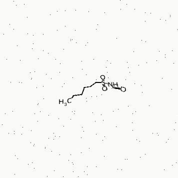 CCCCCCS(=O)(=O)N[C]=O